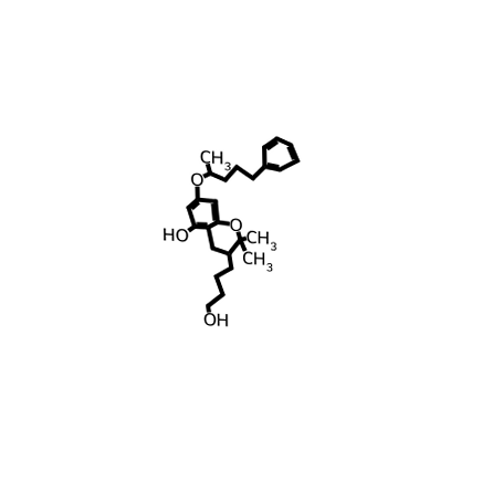 CC(CCCc1ccccc1)Oc1cc(O)c2c(c1)OC(C)(C)C(CCCCO)C2